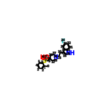 Cc1ccccc1[S+]([O-])CC1(O)CCN(CCc2c[nH]c3ccc(F)cc23)CC1